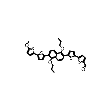 CCCOc1c(-c2ccc(-c3ccc(C=O)s3)s2)ccc2c(OCCC)c(-c3ccc(-c4ccc(OC)s4)s3)ccc12